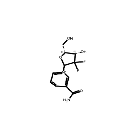 NC(=O)c1ccc[n+](C2O[C@H](CO)[C@H](O)C2(F)F)c1